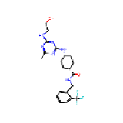 Cc1nc(NCCO)nc(N[C@H]2CC[C@@H](C(=O)NCc3ccccc3C(F)(F)F)CC2)n1